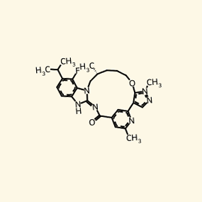 Cc1cc2cc(n1)-c1cnn(C)c1OCCC[C@@H](C)CN1/C(=N/C2=O)Nc2ccc(C(C)C)c(F)c21